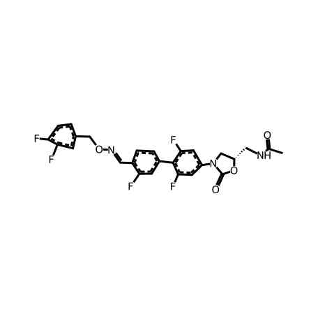 CC(=O)NC[C@H]1CN(c2cc(F)c(-c3ccc(/C=N/OCc4ccc(F)c(F)c4)c(F)c3)c(F)c2)C(=O)O1